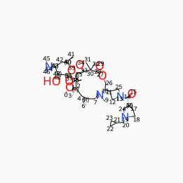 CO[C@]1(C)C[C@@H](C)CN(C)C(C2CN(C(=O)[C@@H]3CCN(CC4CC4)C3)C2)COC(=O)C(C)(C)C(=O)C[C@H]1O[C@@H]1O[C@H](C)C[C@H](N(C)C)[C@H]1O